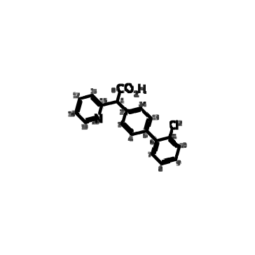 O=C(O)C(c1ccc(-c2ccccc2Cl)cc1)c1ccccn1